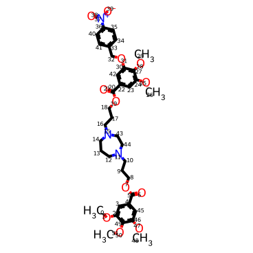 COc1cc(C(=O)OCCCN2CCCN(CCCOC(=O)c3cc(OC)c(OC)c(OCc4ccc([N+](=O)[O-])cc4)c3)CC2)cc(OC)c1OC